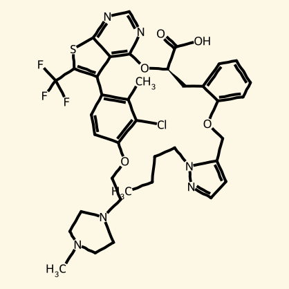 CCCCn1nccc1COc1ccccc1C[C@@H](Oc1ncnc2sc(C(F)(F)F)c(-c3ccc(OCCN4CCN(C)CC4)c(Cl)c3C)c12)C(=O)O